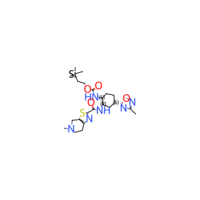 Cc1noc([C@H]2CC[C@H](NC(=O)OCC[Si](C)(C)C)[C@H](NC(=O)c3nc4c(s3)CN(C)CC4)C2)n1